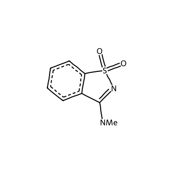 CNC1=NS(=O)(=O)c2ccccc21